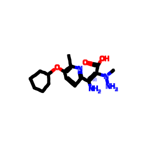 Cc1nc(/C(N)=C(\C(=O)O)N(C)N)ccc1OC1CCCCC1